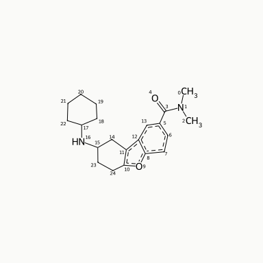 CN(C)C(=O)c1ccc2oc3c(c2c1)CC(NC1CCCCC1)CC3